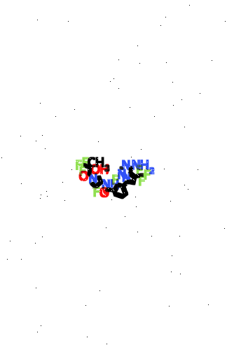 CC(O)(C(=O)N1C[C@H](F)[C@H](NC(=O)c2cccc(-c3cc(C(F)(F)F)c4c(N)ncnn34)c2F)C1)C(F)(F)F